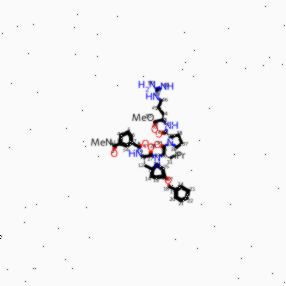 CNC(=O)c1cccc(C(=O)N[C@@H](Cc2ccc(OCc3ccccc3)cc2)C(=O)N[C@@H](CC(C)C)C(=O)N2CCC[C@H]2C(=O)N[C@H](CCCNC(=N)N)C(=O)OC)c1